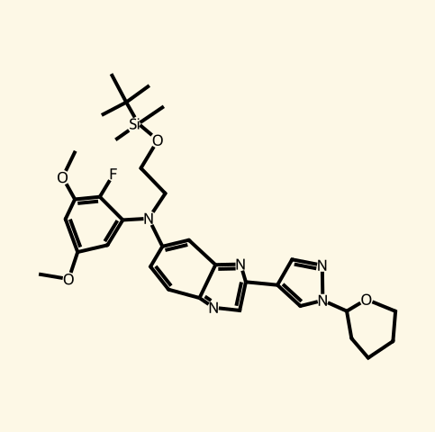 COc1cc(OC)c(F)c(N(CCO[Si](C)(C)C(C)(C)C)c2ccc3ncc(-c4cnn(C5CCCCO5)c4)nc3c2)c1